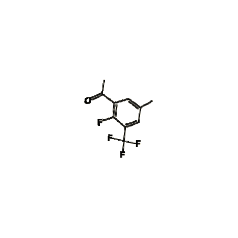 CC(=O)c1cc(C)cc(C(F)(F)F)c1F